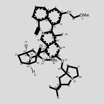 C#Cc1cccc2cc(OCOC)cc(-c3ncc4c(N5C[C@H]6CC[C@@H](C5)N6C(=O)OC(C)(C)C)nc(OCC56CCCN5CC(=C(C)C)C6)nc4c3F)c12